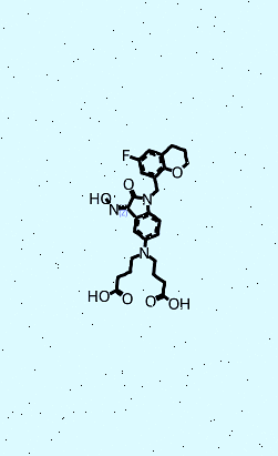 O=C(O)CCCN(CCCC(=O)O)c1ccc2c(c1)/C(=N/O)C(=O)N2Cc1cc(F)cc2c1OCCC2